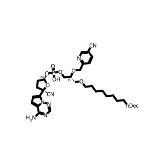 CCCCCCCCCCCCCCCCCCOC[C@H](COP(=O)(O)O[C@@H]1CC[C@](C#N)(c2ccc3c(N)ncnn23)O1)OCc1ccc(C#N)cn1